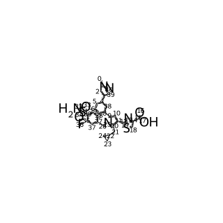 Cn1cc(-c2cccc(-c3cc(-c4nc(C(=O)O)cs4)c(CC4CC4)n3Cc3ccc(S(N)(=O)=O)c(F)c3)c2)cn1